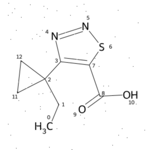 CCC1(c2nnsc2C(=O)O)CC1